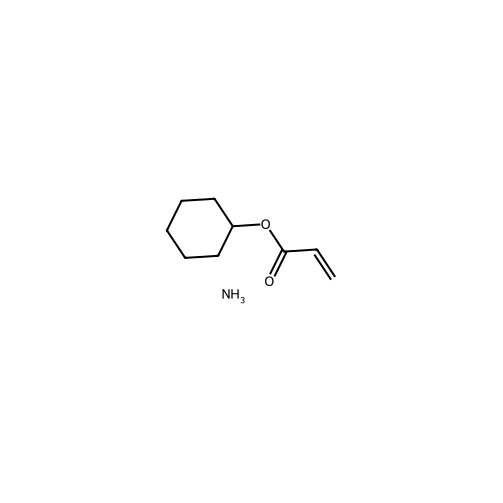 C=CC(=O)OC1CCCCC1.N